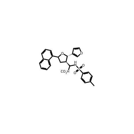 Cc1ccc(S(=O)(=O)NC(C(=O)O)[C@H]2CC(c3cccc4ccccc34)O[C@@H]2c2ccoc2)cc1